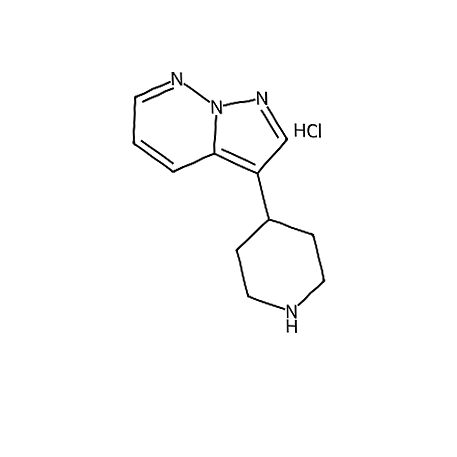 Cl.c1cnn2ncc(C3CCNCC3)c2c1